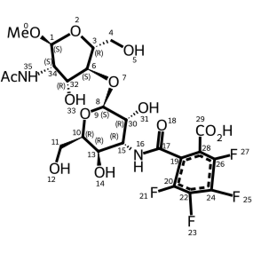 CO[C@H]1O[C@H](CO)[C@@H](O[C@@H]2O[C@H](CO)[C@H](O)[C@@H](NC(=O)c3c(F)c(F)c(F)c(F)c3C(=O)O)[C@H]2O)[C@H](O)[C@@H]1NC(C)=O